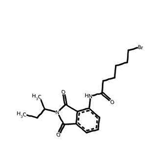 CCC(C)N1C(=O)c2cccc(NC(=O)CCCCCBr)c2C1=O